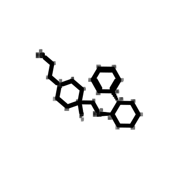 OCCN1CCC(F)(CN[C@@H]2CCCC[C@H]2c2ccccc2)CC1